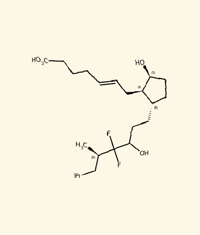 CC(C)C[C@@H](C)C(F)(F)C(O)CC[C@H]1CC[C@H](O)[C@@H]1CC=CCCCC(=O)O